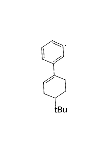 CC(C)(C)C1CC=C(c2c[c]ccc2)CC1